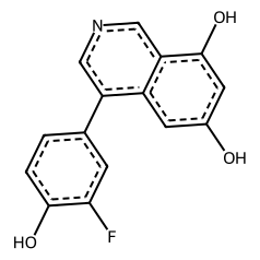 Oc1cc(O)c2cncc(-c3ccc(O)c(F)c3)c2c1